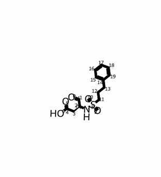 O=[C][C@H](CC(=O)O)NS(=O)(=O)CCCc1ccccc1